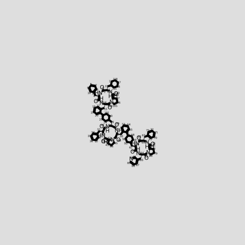 O=C1N[C@H](Cc2ccccc2)C(=O)N[C@@H](Cc2ccccc2C2CCC(C[C@H]3NC(=O)[C@H](Cc4ccccc4)NC(=O)[C@H]4CCCN4C(=O)[C@H](Cc4ccccc4C4CCC(C[C@H]5NC(=O)[C@H](Cc6ccccc6)NC(=O)[C@H]6CCCN6C(=O)[C@H](Cc6cccnc6)NC5=O)CC4)NC3=O)CC2)C(=O)N2CCC[C@@H]2C(=O)N[C@H]1CC1CCCCC1